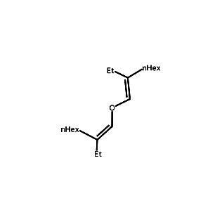 CCCCCCC(=COC=C(CC)CCCCCC)CC